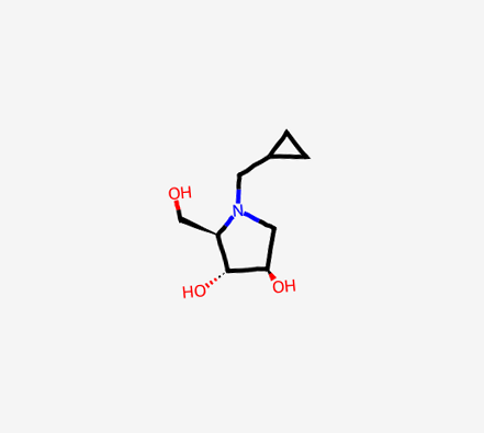 OC[C@@H]1[C@@H](O)[C@H](O)CN1CC1CC1